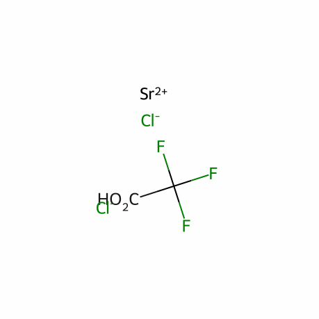 O=C(O)C(F)(F)F.[Cl-].[Cl-].[Sr+2]